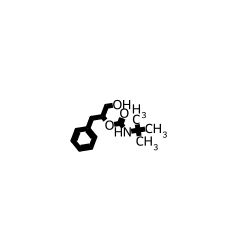 CC(C)(C)NC(=O)OC(CO)Cc1ccccc1